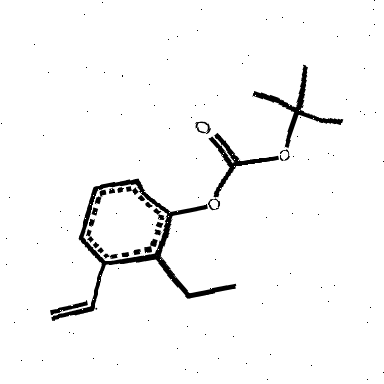 C=[C]c1cccc(OC(=O)OC(C)(C)C)c1CC